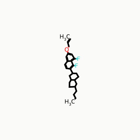 C/C=C/COc1cc(F)c2c(F)c(C3CCC4CC(CCCC)CCC4C3)ccc2c1